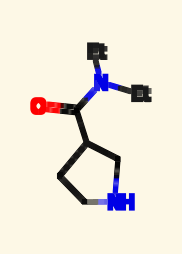 CCN(CC)C(=O)C1CCNC1